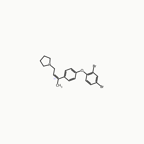 C/C(=C/CN1CCCC1)c1ccc(Oc2ccc(Br)cc2Br)cc1